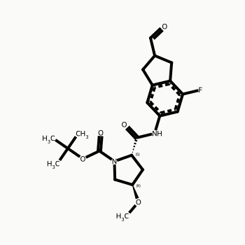 CO[C@@H]1C[C@@H](C(=O)Nc2cc(F)c3c(c2)CC(C=O)C3)N(C(=O)OC(C)(C)C)C1